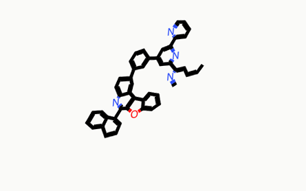 C=N/C(=C\C=C/C)c1cc(-c2cccc(-c3ccc4nc(-c5cccc6ccccc56)c5oc6ccccc6c5c4c3)c2)cc(-c2ccccn2)n1